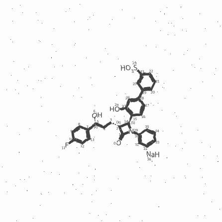 O=C1[C@H](CC[C@@H](O)c2ccc(F)cc2)[C@@H](c2ccc(-c3cccc(S(=O)(=O)O)c3)cc2O)N1c1ccccc1.[NaH]